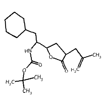 C=C(C)CC1CC(C(CC2CCCCC2)NC(=O)OC(C)(C)C)OC1=O